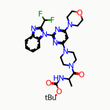 CC(NC(=O)OC(C)(C)C)C(=O)N1CCN(c2cc(N3CCOCC3)nc(-n3c(C(F)F)nc4ccccc43)n2)CC1